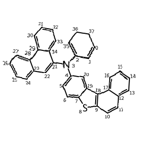 C1=CC(N(c2ccc3sc4ccc5ccccc5c4c3c2)c2cc3ccccc3c3ccccc23)=CCC1